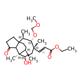 CCOC(=O)/C=C/[C@]1(C)C[C@@H](O)[C@@]2(C)C3C(=O)CCC3(CC[C@H]2C)[C@@H](C)[C@@H]1OCOC